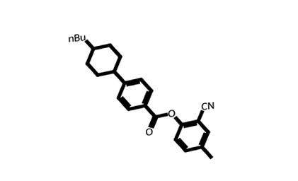 CCCCC1CCC(c2ccc(C(=O)Oc3ccc(C)cc3C#N)cc2)CC1